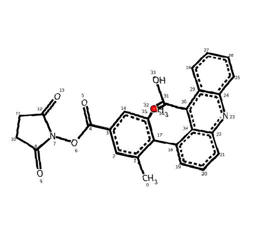 Cc1cc(C(=O)ON2C(=O)CCC2=O)cc(C)c1-c1cccc2nc3ccccc3c(C(=O)O)c12